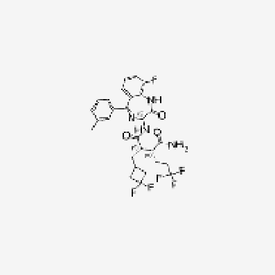 Cc1cccc(C2=N[C@H](NC(=O)[C@@H](CC3CC(F)(F)C3)[C@@H](CCC(F)(F)F)C(N)=O)C(=O)Nc3c(F)cccc32)c1